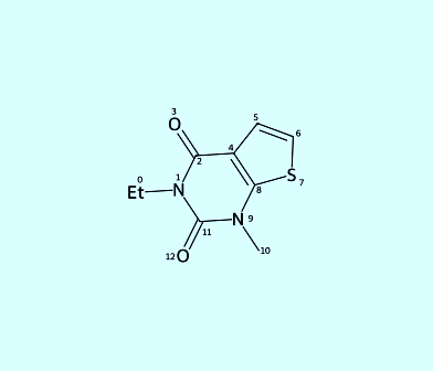 CCn1c(=O)c2ccsc2n(C)c1=O